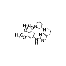 COc1cc(Nc2ncc3c(n2)N(c2cccnc2)CCC3)cc(OC)c1OC